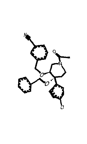 CC(=O)N1CC[C@@](OCc2ccccc2)(c2ccc(Cl)cc2)[C@@H](OCc2cccc(C#N)c2)C1